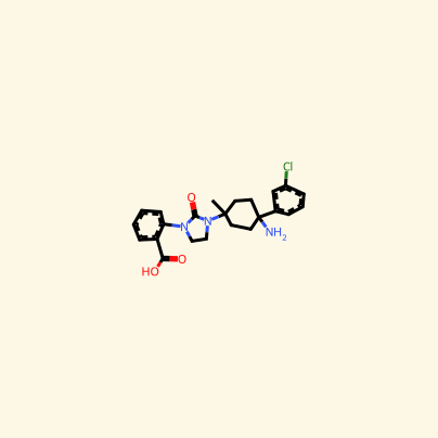 CC1(N2CCN(c3ccccc3C(=O)O)C2=O)CCC(N)(c2cccc(Cl)c2)CC1